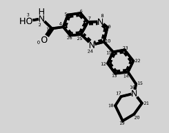 O=C(NO)c1ccc2ncc(-c3ccc(CN4CCCCC4)cc3)nc2c1